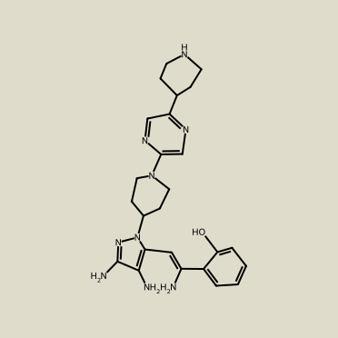 N/C(=C\c1c(N)c(N)nn1C1CCN(c2cnc(C3CCNCC3)cn2)CC1)c1ccccc1O